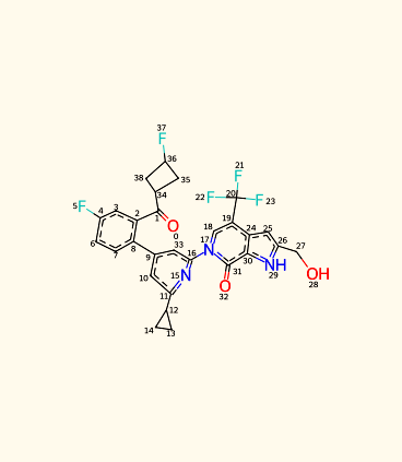 O=C(c1cc(F)ccc1-c1cc(C2CC2)nc(-n2cc(C(F)(F)F)c3cc(CO)[nH]c3c2=O)c1)C1CC(F)C1